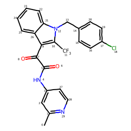 Cc1cc(NC(=O)C(=O)c2c(C(F)(F)F)n(Cc3ccc(Cl)cc3)c3ccccc23)ccn1